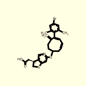 C=C1CCC(Oc2cc3c(cn2)[C@H](CC(=O)O)CS3)C/C=C\C=C/1c1c(C)cc(Br)cc1C